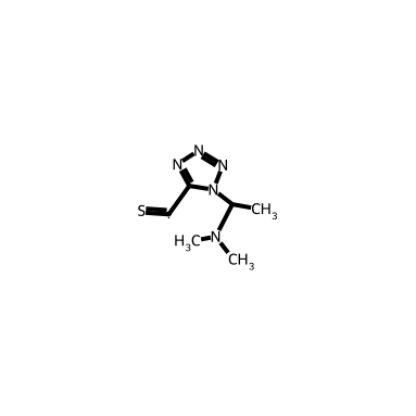 CC(N(C)C)n1nnnc1[C]=S